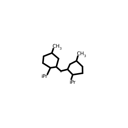 CC1CCC(C(C)C)C([C]C2CC(C)CCC2C(C)C)C1